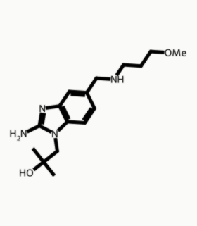 COCCCNCc1ccc2c(c1)nc(N)n2CC(C)(C)O